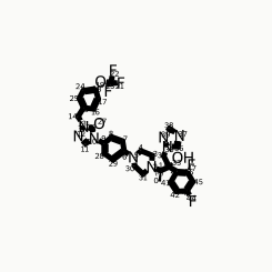 C[C@@H](N1CCN(c2ccc(-n3cnn(Cc4ccc(OC(F)(F)F)cc4)c3=O)cc2)CC1)[C@](O)(Cn1cncn1)c1ccc(F)cc1F